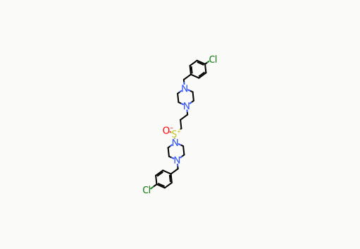 [O-][S+](CCCN1CCN(Cc2ccc(Cl)cc2)CC1)N1CCN(Cc2ccc(Cl)cc2)CC1